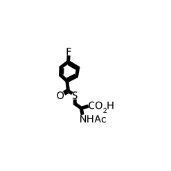 CC(=O)NC(CSC(=O)c1ccc(F)cc1)C(=O)O